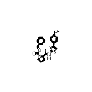 CC(C)c1ccc(-c2csc(NC(=O)C3CCCN3C(=O)OCc3ccccc3)n2)cc1